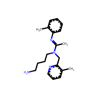 C/C(=N\c1ccccc1C)N(CCCCN)Cc1ncccc1C